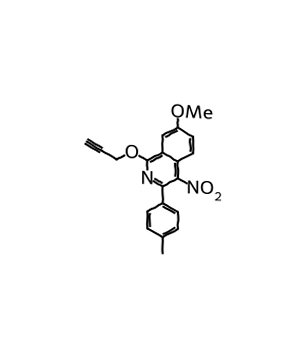 C#CCOc1nc(-c2ccc(C)cc2)c([N+](=O)[O-])c2ccc(OC)cc12